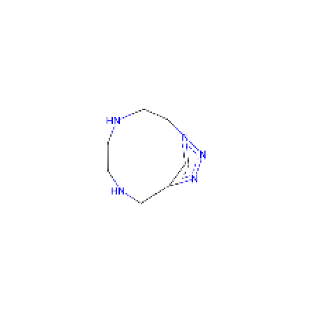 c1c2nnn1CCNCCNC2